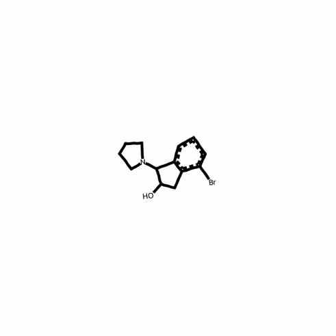 OC1Cc2c(Br)cccc2C1N1CCCC1